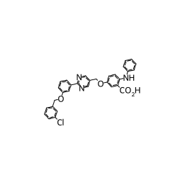 O=C(O)c1cc(OCc2cnc(-c3cccc(OCc4cccc(Cl)c4)c3)nc2)ccc1Nc1ccccc1